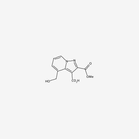 COC(=O)c1nn2cccc(CO)c2c1C(=O)O